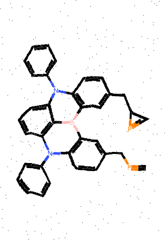 C=PCc1ccc2c(c1)B1c3cc(CC4C=P4)ccc3N(c3ccccc3)c3cccc(c31)N2c1ccccc1